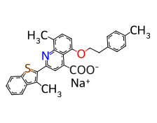 Cc1ccc(CCOc2ccc(C)c3nc(-c4sc5ccccc5c4C)cc(C(=O)[O-])c23)cc1.[Na+]